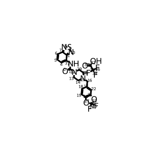 O=C(Nc1cccc2nsnc12)N1CCN(Cc2ccc3c(c2)OC(F)(F)O3)CC1.O=C(O)C(F)(F)F